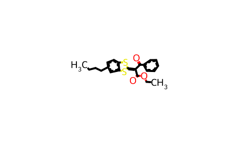 CCCCc1ccc2c(c1)S/C(=C(\C(=O)OCC)C(=O)c1ccccc1)S2